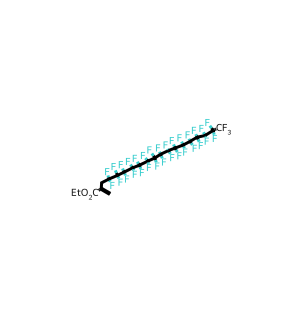 C=C(CC(F)(F)C(F)(F)C(F)(F)C(F)(F)C(F)(F)C(F)(F)C(F)(F)C(F)(F)C(F)(F)C(F)(F)C(F)(F)C(F)(F)C(F)(F)C(F)(F)C(F)(F)C(F)(F)F)C(=O)OCC